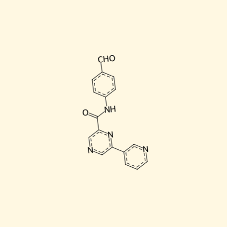 O=Cc1ccc(NC(=O)c2cncc(-c3cccnc3)n2)cc1